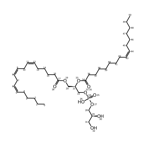 CCCCC/C=C\C/C=C\C/C=C\CCCCC(=O)OC[C@H](COP(=O)(O)OC[C@@H](O)CO)OC(=O)CCCCCCC/C=C\CCCCCC